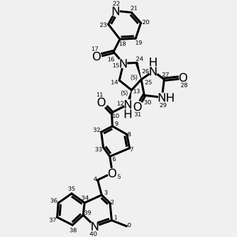 Cc1cc(COc2ccc(C(=O)N[C@H]3CN(C(=O)c4cccnc4)C[C@]34NC(=O)NC4=O)cc2)c2ccccc2n1